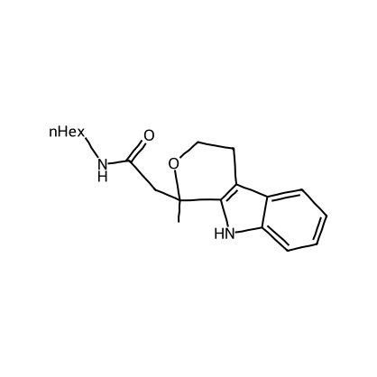 CCCCCCNC(=O)CC1(C)OCCc2c1[nH]c1ccccc21